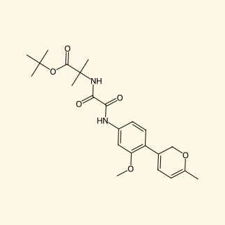 COc1cc(NC(=O)C(=O)NC(C)(C)C(=O)OC(C)(C)C)ccc1C1=CC=C(C)OC1